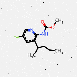 CCCC(C)c1cc(F)cnc1NC(=O)OC